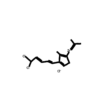 C[C](C)=[Zr+][C]1=C(C)C(C=CC=CC(Cl)Cl)=CC1.[Cl-]